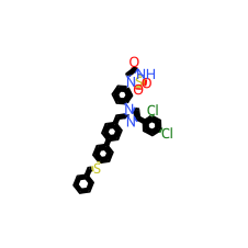 O=C1CN(c2cccc(-n3cc(-c4ccc(Cl)cc4Cl)nc3Cc3ccc(-c4ccc(SCC5CCCCC5)cc4)cc3)c2)S(=O)(=O)N1